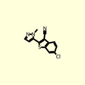 Cn1nccc1-c1sc2cc(Cl)ccc2c1C#N